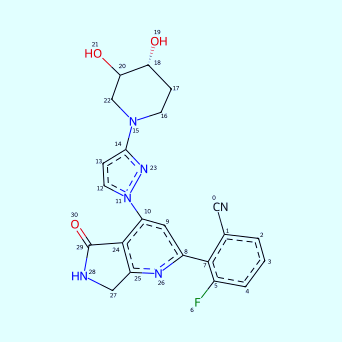 N#Cc1cccc(F)c1-c1cc(-n2ccc(N3CC[C@@H](O)C(O)C3)n2)c2c(n1)CNC2=O